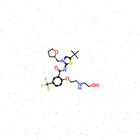 CC(C)(C)c1cn(C[C@H]2CCCO2)c(=NC(=O)c2cc(C(F)(F)F)ccc2OCCNCCO)s1